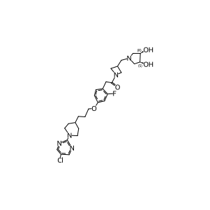 O=C(Cc1ccc(OCCCC2CCN(c3ncc(Cl)cn3)CC2)cc1F)N1CC(CN2C[C@@H](O)[C@@H](O)C2)C1